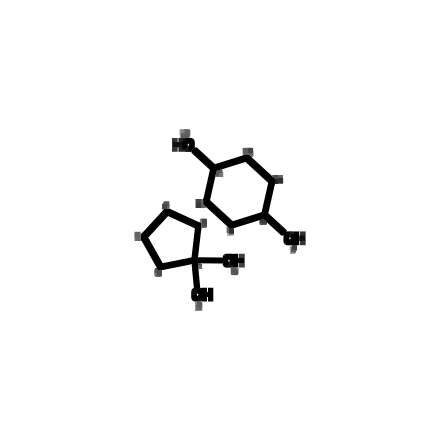 OC1(O)CCCC1.OC1CCC(O)CC1